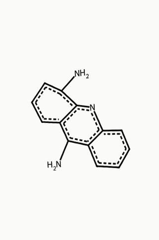 Nc1c2ccccc2nc2c(N)cccc12